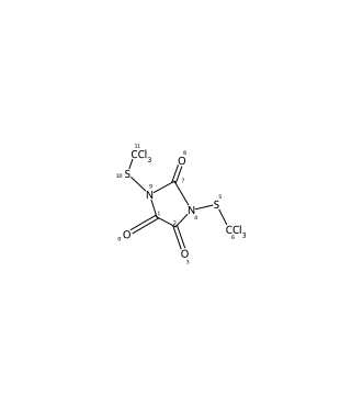 O=C1C(=O)N(SC(Cl)(Cl)Cl)C(=O)N1SC(Cl)(Cl)Cl